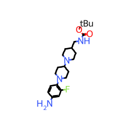 CC(C)(C)OC(=O)NCC1CCN(C2CCN(c3ccc(N)cc3F)CC2)CC1